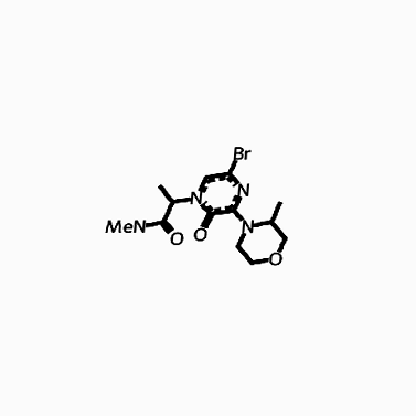 CNC(=O)C(C)n1cc(Br)nc(N2CCOCC2C)c1=O